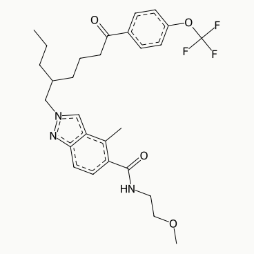 CCCC(CCCC(=O)c1ccc(OC(F)(F)F)cc1)Cn1cc2c(C)c(C(=O)NCCOC)ccc2n1